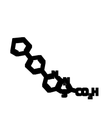 O=C(O)c1nc2nc(-c3ccc(-c4ccccc4)cc3)ccc2s1